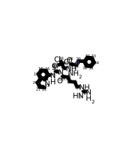 N=C(N)NCCC[C@H](N)C(=O)N(C(=S)Nc1cccc2cccnc12)C(NC(=O)/C=C/c1ccccc1)C(Cl)(Cl)Cl